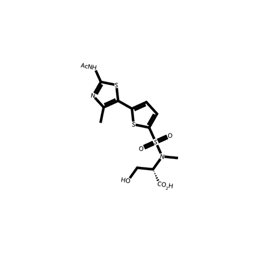 CC(=O)Nc1nc(C)c(-c2ccc(S(=O)(=O)N(C)[C@@H](CO)C(=O)O)s2)s1